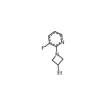 CCC1CN(c2ncccc2F)C1